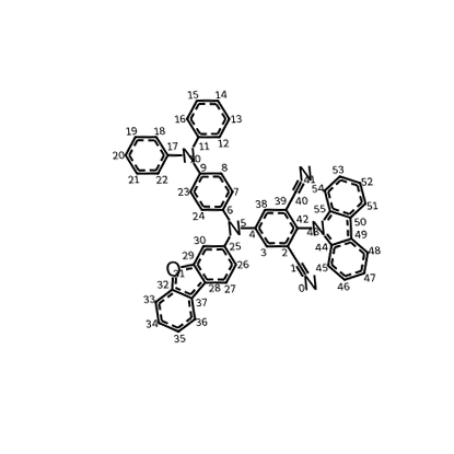 N#Cc1cc(N(c2ccc(N(c3ccccc3)c3ccccc3)cc2)c2ccc3c(c2)oc2ccccc23)cc(C#N)c1-n1c2ccccc2c2ccccc21